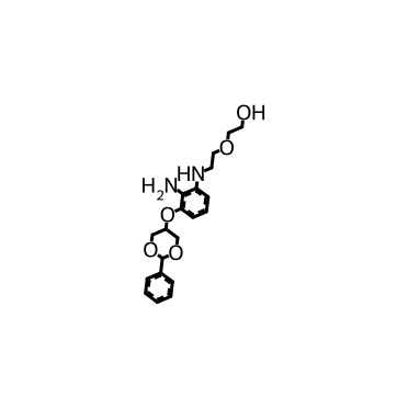 Nc1c(NCCOCCO)cccc1OC1COC(c2ccccc2)OC1